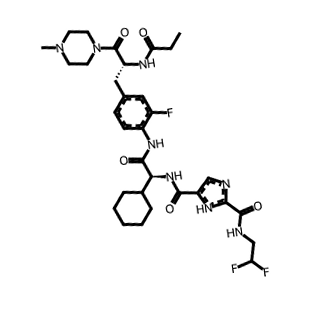 CCC(=O)N[C@H](Cc1ccc(NC(=O)[C@@H](NC(=O)c2cnc(C(=O)NCC(F)F)[nH]2)C2CCCCC2)c(F)c1)C(=O)N1CCN(C)CC1